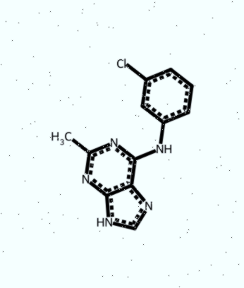 Cc1nc(Nc2cccc(Cl)c2)c2nc[nH]c2n1